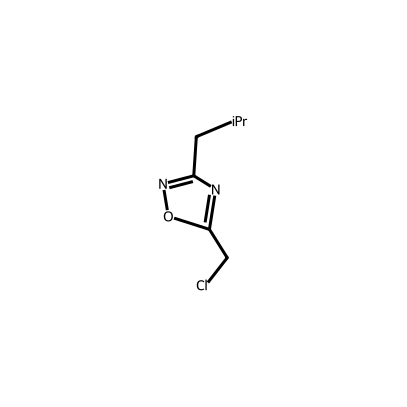 CC(C)Cc1noc(CCl)n1